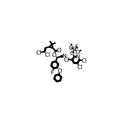 CC1(C)C(C=C(Cl)Cl)C1C(=O)OC(C#N)c1ccc(F)c(Oc2ccccc2)c1.COP(=S)(OC)Oc1nc(Cl)c(Cl)cc1Cl